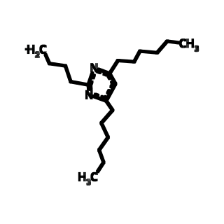 [CH2]CCCc1nc(CCCCCC)cc(CCCCCC)n1